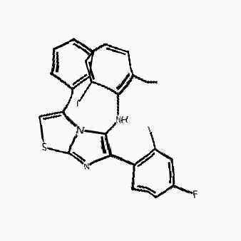 Cc1cccc(I)c1Nc1c(-c2ccc(F)cc2I)nc2scc(-c3ccccc3)n12